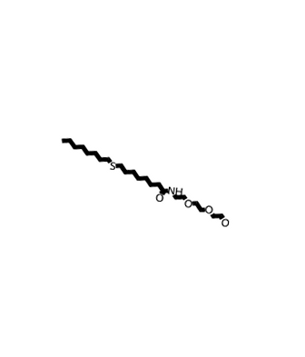 CCCCCCCCSCCCCCCCC(=O)NCCOCCOCC=O